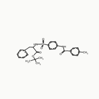 Cc1ccc(C(=O)Nc2ccc(S(=O)(=O)NC(Cc3ccccc3)C(=O)OC(C)(C)C)cc2)cc1